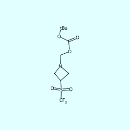 CC(C)(C)OC(=O)OCN1CC(S(=O)(=O)C(F)(F)F)C1